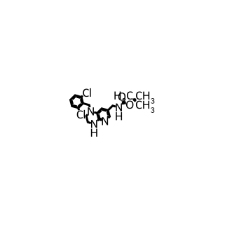 CC(C)(C)OC(=O)NCc1cnc2c(c1)N(Cc1c(Cl)cccc1Cl)CCN2